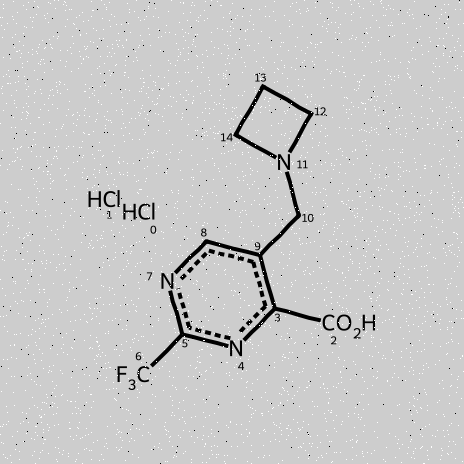 Cl.Cl.O=C(O)c1nc(C(F)(F)F)ncc1CN1CCC1